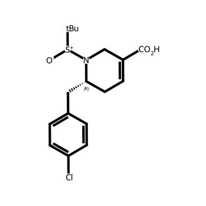 CC(C)(C)[S+]([O-])N1CC(C(=O)O)=CC[C@@H]1Cc1ccc(Cl)cc1